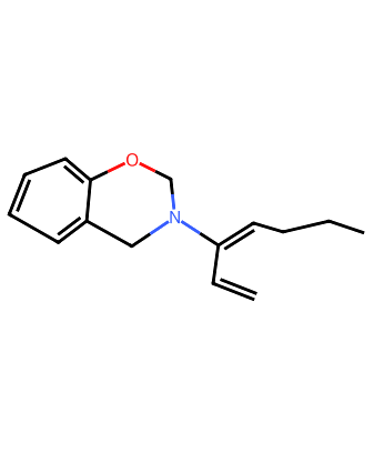 C=C/C(=C\CCC)N1COc2ccccc2C1